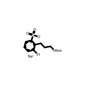 CCCCCCCCCCCCc1c(CC)cccc1S(=O)(=O)[O-].[Na+]